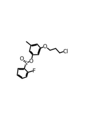 Cc1cc(OCCCCl)cc(OS(=O)c2ccccc2F)c1